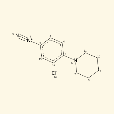 N#[N+]c1ccc(N2CCCCC2)cc1.[Cl-]